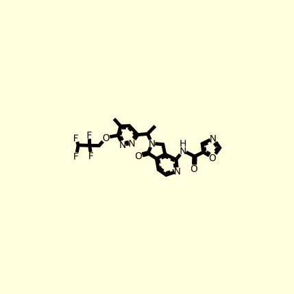 Cc1cc(C(C)N2Cc3c(ccnc3NC(=O)c3cnco3)C2=O)nnc1OCC(F)(F)C(F)F